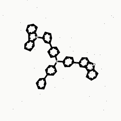 c1ccc(-c2ccc(N(c3ccc(-c4cccc(-n5c6ccccc6c6ccccc65)c4)cc3)c3ccc(-c4ccc5oc6ccccc6c5c4)cc3)cc2)cc1